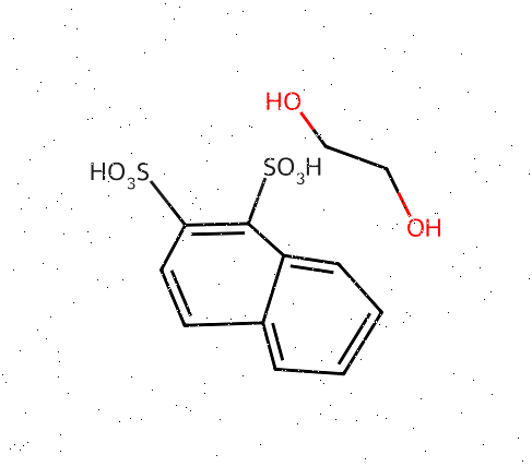 O=S(=O)(O)c1ccc2ccccc2c1S(=O)(=O)O.OCCO